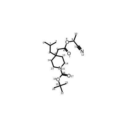 CC(C)CC1(CC(=O)OC(C)C#N)CCN(C(=O)OC(C)(C)C)CC1